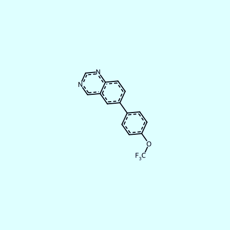 FC(F)(F)Oc1ccc(-c2ccc3ncncc3c2)cc1